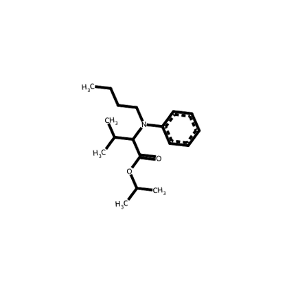 CCCCN(c1ccccc1)C(C(=O)OC(C)C)C(C)C